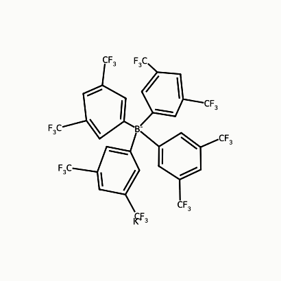 FC(F)(F)c1cc([B-](c2cc(C(F)(F)F)cc(C(F)(F)F)c2)(c2cc(C(F)(F)F)cc(C(F)(F)F)c2)c2cc(C(F)(F)F)cc(C(F)(F)F)c2)cc(C(F)(F)F)c1.[K+]